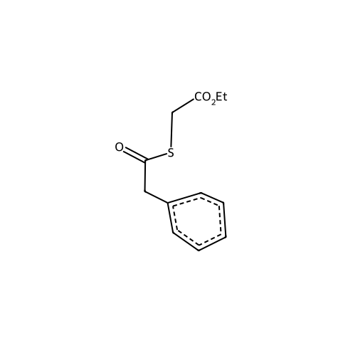 CCOC(=O)CSC(=O)Cc1ccccc1